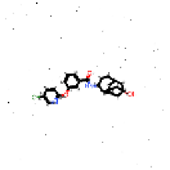 O=C(NC1CCC2CC3CC(O)(C2)CC31)c1cccc(Oc2ccc(Cl)cn2)c1